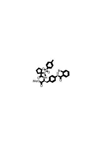 COC(=O)[C@H](Cc1ccc(NC(=O)c2ccccc2Br)cc1)NC(=O)C1(N(C)S(=O)(=O)c2ccc(C)cc2)CCCC1